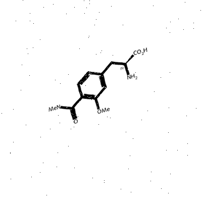 CNC(=O)c1ccc(C[C@H](N)C(=O)O)cc1OC